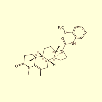 CC1=C2N(C)C(=O)CC[C@]2(C)[C@@H]2CC[C@]3(C)C(C(=O)Nc4ccccc4OC(F)(F)F)CC[C@H]3[C@@H]2C1